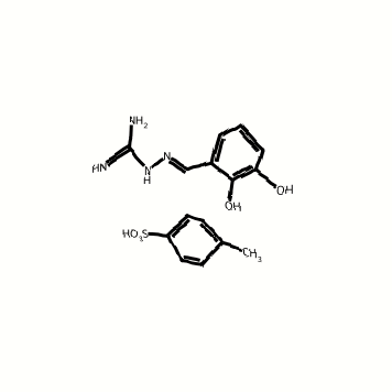 Cc1ccc(S(=O)(=O)O)cc1.N=C(N)NN=Cc1cccc(O)c1O